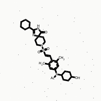 CC(=O)N(c1cc(C)c(/C=C/S(=O)(=O)N2CCC3(CC2)N=C(C2CCCCC2)NC3=O)c(C)c1)C1CCC(O)CC1